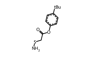 CC(C)(C)c1ccc(OC(=O)CSN)cc1